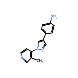 Cc1cnccc1-n1cc(-c2ccc(N)cc2)cn1